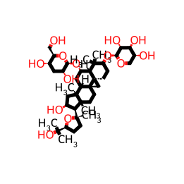 CC(C)(O)[C@@H]1CC[C@](C)([C@H]2[C@@H](O)C[C@@]3(C)[C@@H]4C[C@H](O[C@@H]5O[C@H](CO)[C@@H](O)C[C@H]5O)[C@H]5C(C)(C)C(O[C@@H]6OC[C@@H](O)[C@H](O)[C@H]6O)CC[C@@]56C[C@@]46CC[C@]23C)O1